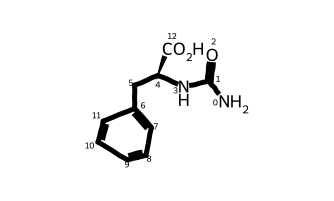 NC(=O)N[C@@H](Cc1ccccc1)C(=O)O